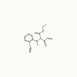 C=CC(=O)C(C(=O)OCC)N(C)c1ccccc1C#N